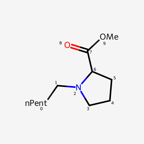 CCCCCCN1CCCC1C(=O)OC